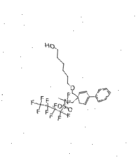 C[N+](F)(CC1(COCCCCCCO)C=CC(c2ccccc2)=CC1)S(=O)(=O)C(F)(F)C(F)(F)C(F)(F)C(F)(F)F